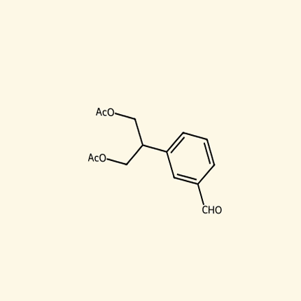 CC(=O)OCC(COC(C)=O)c1cccc(C=O)c1